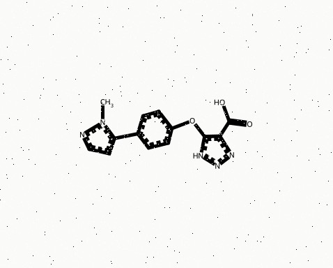 Cn1nccc1-c1ccc(Oc2[nH]nnc2C(=O)O)cc1